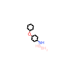 BBNc1ccc(Oc2ccccc2)cc1